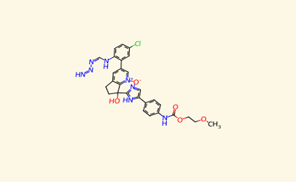 COCCOC(=O)Nc1ccc(-c2cnc(C3(O)CCc4cc(-c5cc(Cl)ccc5N/C=N\N=N)c[n+]([O-])c43)[nH]2)cc1